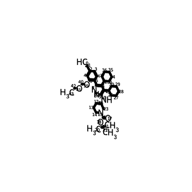 C#Cc1ccc(-c2nnc(N[C@@H]3CCCN(C(=O)OC(C)(C)C)C3)c(C3CCCCC3)c2C2CCCCC2)c(OCOCC)c1